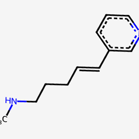 CNCCCC=Cc1cccnc1